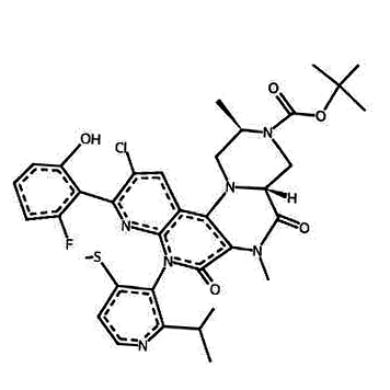 CSc1ccnc(C(C)C)c1-n1c(=O)c2c(c3cc(Cl)c(-c4c(O)cccc4F)nc31)N1C[C@@H](C)N(C(=O)OC(C)(C)C)C[C@@H]1C(=O)N2C